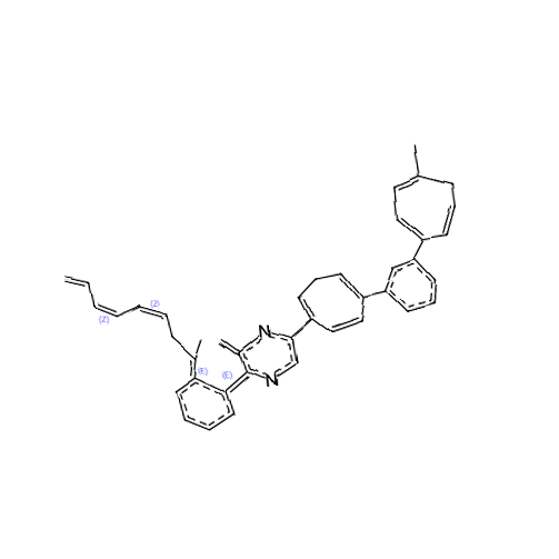 C=C/C=C\C=C/C/C(C)=c1\cccc\c1=c1/ncc(C2=CCC=C(c3cccc(C4=CC=C(C)CC=C4)c3)C=C2)nc1=C